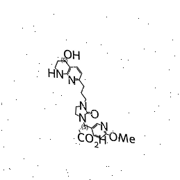 COc1ccc([C@H](CC(=O)O)N2CCN(CCCc3ccc4c(n3)NCC[C@@H]4O)C2=O)cn1